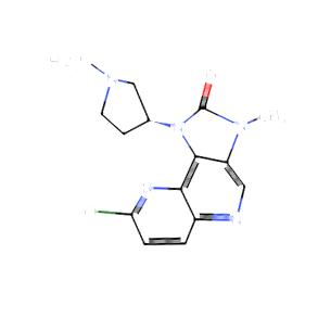 Cn1c(=O)n([C@H]2CCN(C(=O)O)C2)c2c3nc(Cl)ccc3ncc21